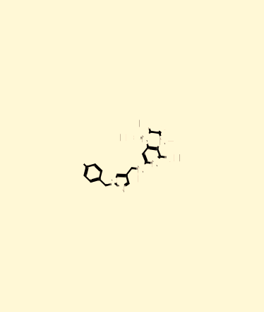 CCC1C(=O)Nc2c(cc(NCc3cnn(Cc4ccc(F)cc4)c3)nc2C)N1C